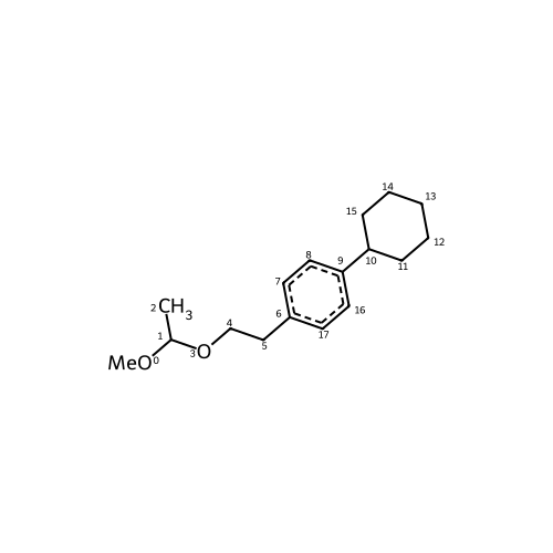 COC(C)OCCc1ccc(C2CCCCC2)cc1